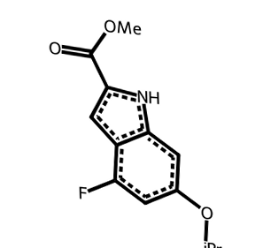 COC(=O)c1cc2c(F)cc(OC(C)C)cc2[nH]1